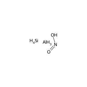 O=NO.[AlH3].[SiH4]